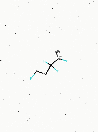 [CH2]CC[C@H](F)C(F)(F)CCF